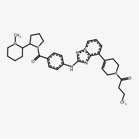 CN1CCCCC1C1CCCN1C(=O)c1ccc(Nc2nc3c(C4=CCN(C(=O)CCC(F)(F)F)CC4)cccn3n2)cc1